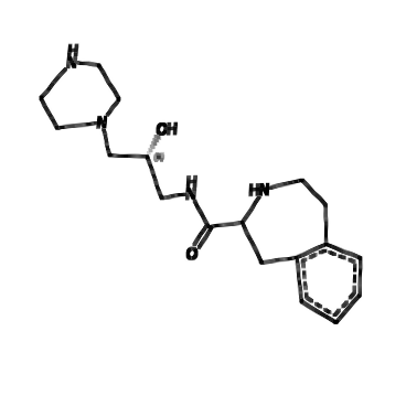 O=C(NC[C@@H](O)CN1CCNCC1)C1Cc2ccccc2CCN1